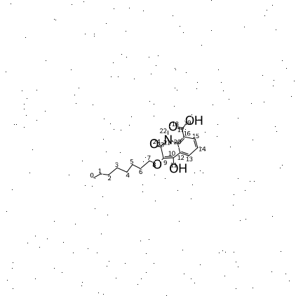 CCCCCCCCOc1c(O)c2cccc(C(=O)O)c2n(C)c1=O